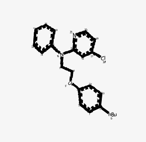 CCCCc1ccc(OCCN(c2ccccc2)c2cc(Cl)ccn2)cc1